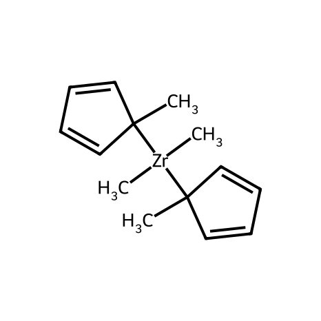 C[C]1([Zr]([CH3])([CH3])[C]2(C)C=CC=C2)C=CC=C1